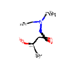 CCC[C@@H](O)C(=O)N(CCC)CCC